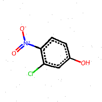 O=[N+]([O-])c1ccc(O)cc1Cl